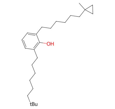 CC(C)(C)CCCCCCc1cccc(CCCCCCC2(C)CC2)c1O